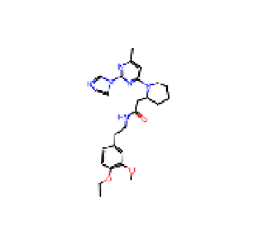 CCOc1ccc(CCNC(=O)CC2CCCCN2c2cc(C)nc(-n3ccnc3)n2)cc1OC